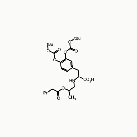 CC(C)CC(=O)OC(C)CN[C@@H](Cc1ccc(OC(=O)OC(C)(C)C)c(OC(=O)OC(C)(C)C)c1)C(=O)O